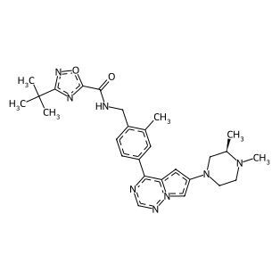 Cc1cc(-c2ncnn3cc(N4CCN(C)[C@H](C)C4)cc23)ccc1CNC(=O)c1nc(C(C)(C)C)no1